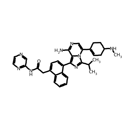 CNC1CC=C(c2cnc(N)c3c(-c4ccc(CC(=O)Nc5cnccn5)c5ccccc45)nc(C(C)C)n23)CC1